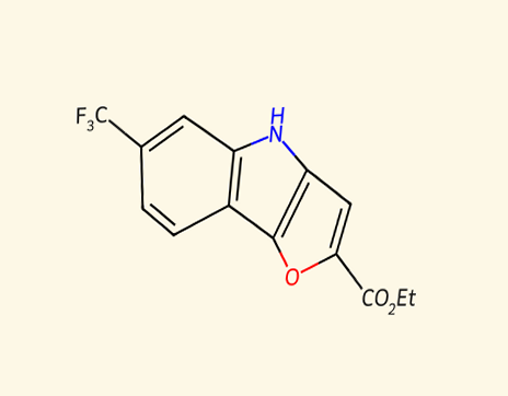 CCOC(=O)c1cc2[nH]c3cc(C(F)(F)F)ccc3c2o1